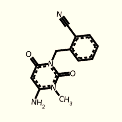 Cn1c(N)cc(=O)n(Cc2ccccc2C#N)c1=O